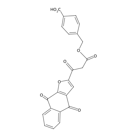 O=C(CC(=O)c1cc2c(o1)C(=O)c1ccccc1C2=O)OCc1ccc(C(=O)O)cc1